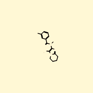 CN(C(=O)c1cccc(Cl)c1)c1nc2n(c1OC(=O)O)CCCC2